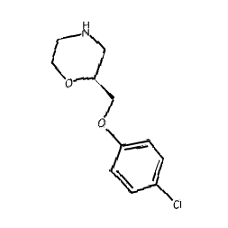 Clc1ccc(OC[C@@H]2CNCCO2)cc1